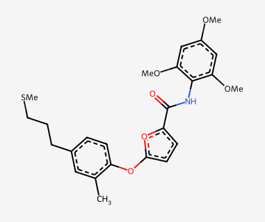 COc1cc(OC)c(NC(=O)c2ccc(Oc3ccc(CCCSC)cc3C)o2)c(OC)c1